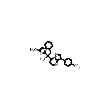 Cc1cnc(C(C)(Cc2ccccc2)c2ccnc3c(-c4ccc(C(F)(F)F)cc4)cnn23)o1